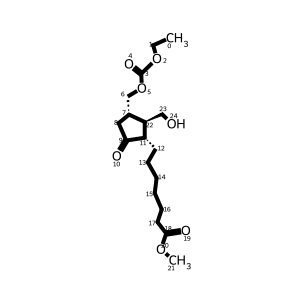 CCOC(=O)OC[C@H]1CC(=O)[C@@H](CCCCCCC(=O)OC)[C@@H]1CO